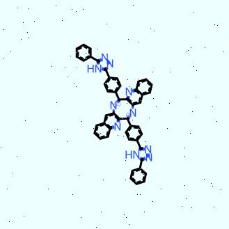 c1ccc(-c2nnc(-c3ccc(/C4=N/c5cc6ccccc6nc5/C(c5ccc(-c6nnc(-c7ccccc7)[nH]6)cc5)=N\c5cc6ccccc6nc54)cc3)[nH]2)cc1